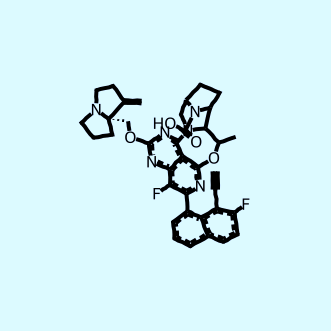 C#Cc1c(F)ccc2cccc(-c3nc4c5c(nc(OC[C@]67CCCN6CCC7=C)nc5c3F)N3CC5CCC(C3C(C)O4)N5C(=O)O)c12